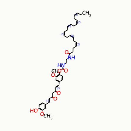 CC/C=C\C/C=C\C/C=C\C/C=C\C/C=C\C/C=C\CCC(=O)NCCNC(=O)Oc1ccc(/C=C/C(=O)CC(=O)/C=C/c2ccc(O)c(OC)c2)cc1OC